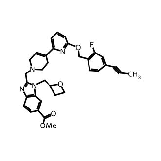 CC#Cc1ccc(COc2cccc(C3=CCN(Cc4nc5ccc(C(=O)OC)cc5n4C[C@@H]4CCO4)CC3)n2)c(F)c1